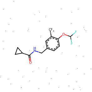 O=C(NCc1ccc(OC(F)F)c(C(F)(F)F)c1)C1CC1